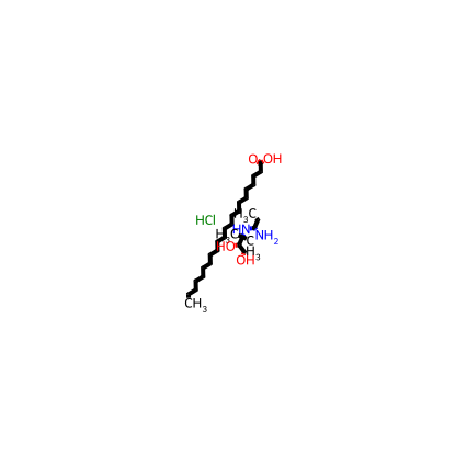 CCC(N)NC(C)(C)C(O)CO.CCCCCCCCCCCCCCCCCCCCCC(=O)O.Cl